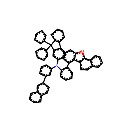 c1ccc(C2(c3ccccc3)c3ccccc3-c3ccc(N(c4cccc(-c5ccc6ccccc6c5)c4)c4ccccc4-c4cccc5oc6c7ccccc7ccc6c45)cc32)cc1